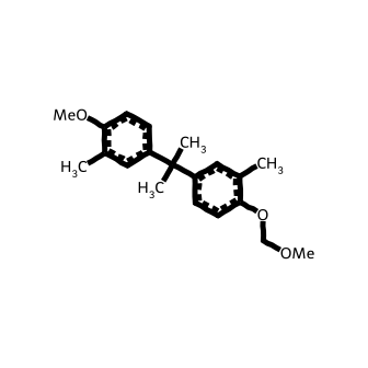 COCOc1ccc(C(C)(C)c2ccc(OC)c(C)c2)cc1C